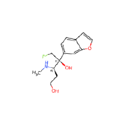 CN[C@H](CCO)[C@](O)(CF)c1ccc2ccoc2c1